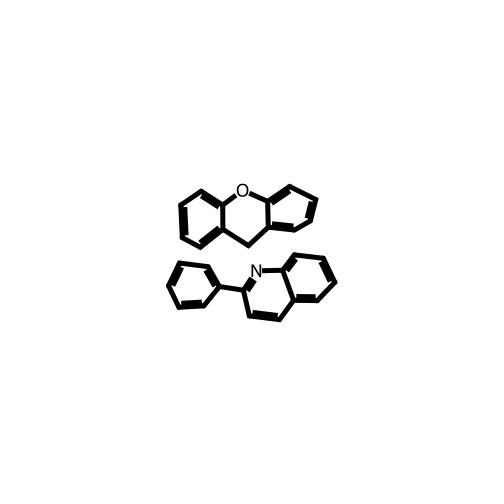 c1ccc(-c2ccc3ccccc3n2)cc1.c1ccc2c(c1)Cc1ccccc1O2